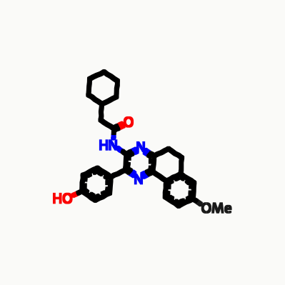 COc1ccc2c(c1)CCc1nc(NC(=O)CC3CCCCC3)c(-c3ccc(O)cc3)nc1-2